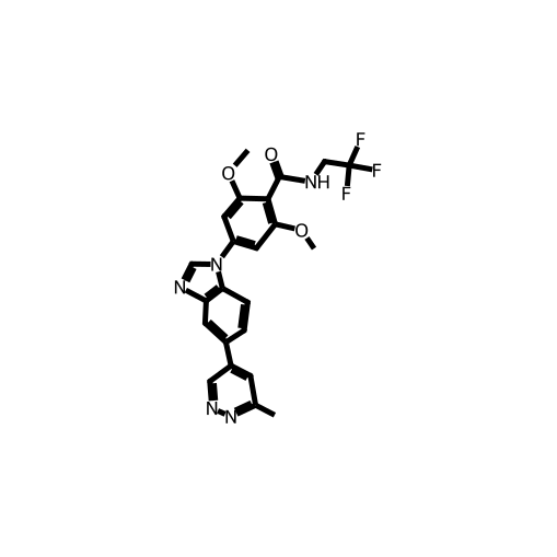 COc1cc(-n2cnc3cc(-c4cnnc(C)c4)ccc32)cc(OC)c1C(=O)NCC(F)(F)F